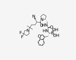 CC(C)(CCC(C#N)C(=O)N1CCC[C@@H]1CNC(=O)N[C@@H](Cc1coc2ccccc12)B(O)O)N1CCC(F)(F)C1